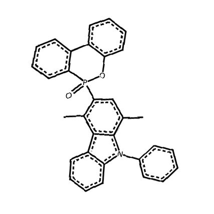 Cc1c(P2(=O)Oc3ccccc3-c3ccccc32)cc(C)c2c1c1ccccc1n2-c1ccccc1